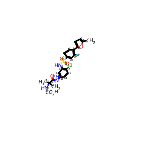 Cc1ccc(-c2ccc(S(=O)(=O)Nc3cc(NC(=O)C(C)(C)NC(=O)O)ccc3Cl)cc2F)o1